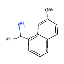 COc1ccc2cccc(C(N)C(C)C)c2c1